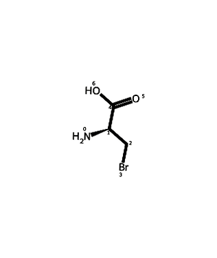 N[C@H](CBr)C(=O)O